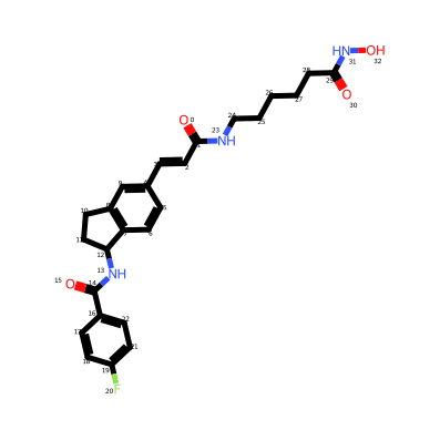 O=C(/C=C/c1ccc2c(c1)CCC2NC(=O)c1ccc(F)cc1)NCCCCCC(=O)NO